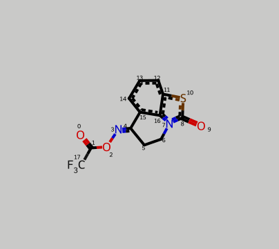 O=C(O/N=C1\CCn2c(=O)sc3cccc1c32)C(F)(F)F